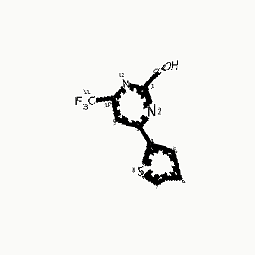 Oc1nc(-c2cccs2)cc(C(F)(F)F)n1